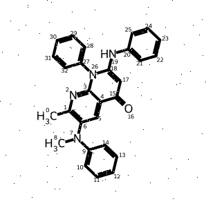 Cc1nc2c(cc1N(C)c1ccccc1)c(=O)cc(Nc1ccccc1)n2-c1ccccc1